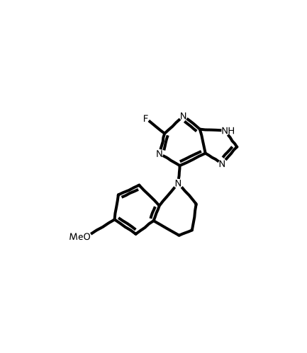 COc1ccc2c(c1)CCCN2c1nc(F)nc2[nH]cnc12